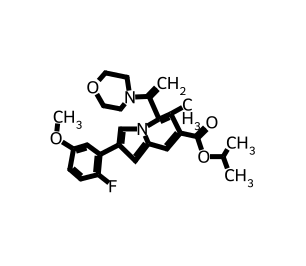 C=C(c1c(C)c(C(=O)OC(C)C)cc2cc(-c3cc(OC)ccc3F)cn12)N1CCOCC1